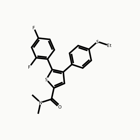 CCSc1ccc(-c2cc(C(=O)N(C)C)sc2-c2ccc(F)cc2F)cc1